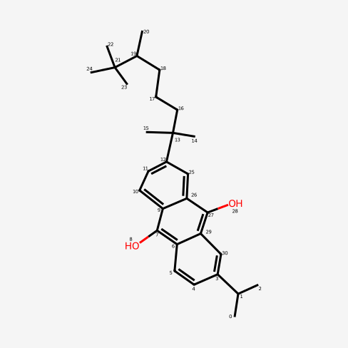 CC(C)c1ccc2c(O)c3ccc(C(C)(C)CCCC(C)C(C)(C)C)cc3c(O)c2c1